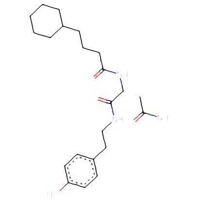 NC(=O)C[C@@H](NC(=O)CCCC1CCCCC1)C(=O)NCCc1ccc(O)cc1